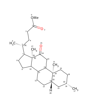 COC(=O)CC[C@@H](C)C1CCC2C3CC[C@H]4C[C@@H](C)CC[C@]4(C)C3CC(=O)[C@@]21C